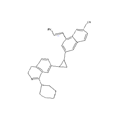 CC(C)/C=C/c1cc(C2CC2c2ccc3c(c2)C(C2CCCCC2)=NCC3)cc2ccc(C#N)cc12